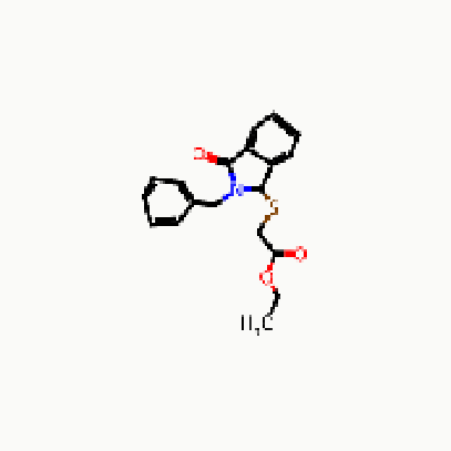 CCOC(=O)CSC1c2ccccc2C(=O)N1Cc1ccccc1